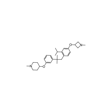 CC(C)c1cc(OC2CN(C)C2)ccc1CC(C)(C)c1cccc(OC2CCN(C)CC2)c1